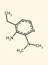 CCc1ccnc(N(C)C)c1N